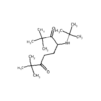 CC(C)(C)NC(CCC(=O)C(C)(C)C)C(=O)C(C)(C)C